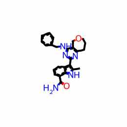 Cc1[nH]c2c(C(N)=O)cccc2c1-c1nc2c(c(NCc3ccccc3)n1)COCCC2